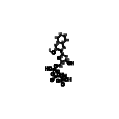 COc1cc2c(cc1[C@H]1C[C@@H](O)C(COP(=O)(O)OP(=O)(O)OP(=O)(O)O)O1)C=CCC2